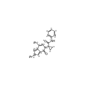 CC(C)c1nn(C2(C(=O)Nc3ncccn3)CC2)c(=O)c2cn(C(C)C)nc12